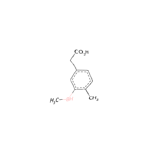 CBc1cc(CC(=O)O)ccc1C